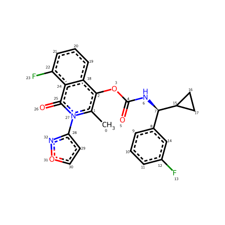 Cc1c(OC(=O)N[C@H](c2cccc(F)c2)C2CC2)c2cccc(F)c2c(=O)n1-c1ccon1